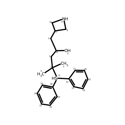 CC(C)(CC(O)CC1CNC1)[SiH](c1ccccc1)c1ccccc1